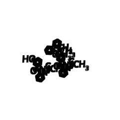 CC(C)Cn1nc(C(=O)c2cccc(O)c2)c2ccccc21.CC(C)Cn1nc(C(=O)c2cccc(O[Si](c3ccccc3)(c3ccccc3)C(C)(C)C)c2)c2ccccc21